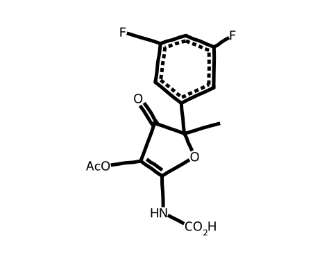 CC(=O)OC1=C(NC(=O)O)OC(C)(c2cc(F)cc(F)c2)C1=O